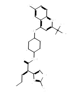 CCC=C(C(=O)NC1CCC(Nc2cc(C(F)(F)F)nc3ccc(Cl)cc23)CC1)c1csc(N)n1